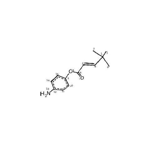 CC(C)(C)C=CC(=O)Oc1ccc(N)cc1